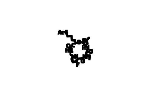 C/C=C1\NC(=O)c2nc(ccc2F)CNC(=O)C[C@@H](/C=C/CCSC(C)=O)OC(=O)C(/C=C/C)NC1=O